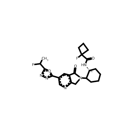 CC(F)c1nnc(-c2cnc3c(c2)C(=O)N(C2CCCC[C@H]2NC(=O)C2(F)CCC2)C3)o1